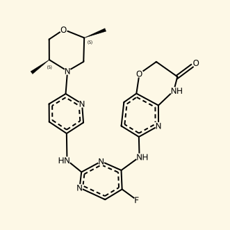 C[C@H]1CN(c2ccc(Nc3ncc(F)c(Nc4ccc5c(n4)NC(=O)CO5)n3)cn2)[C@@H](C)CO1